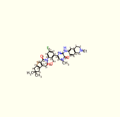 CCN1CCc2cc(Nc3nc(-c4cc(F)cc(N5CCc6c(sc7c6CC(C)(C)C7)C5=O)c4CO)cn(C)c3=O)ccc2C1